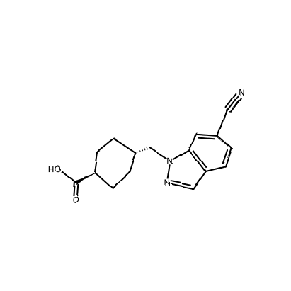 N#Cc1ccc2cnn(C[C@H]3CC[C@H](C(=O)O)CC3)c2c1